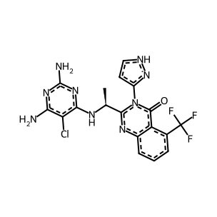 C[C@H](Nc1nc(N)nc(N)c1Cl)c1nc2cccc(C(F)(F)F)c2c(=O)n1-c1cc[nH]n1